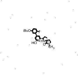 CC(C)COc1ccc(F)c(-c2ccnc([C@H]3CC[C@@]4(CCN(C)C4=O)N3)c2)c1.Cl